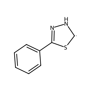 [CH]1NN=C(c2ccccc2)S1